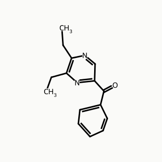 CCc1ncc(C(=O)c2ccccc2)nc1CC